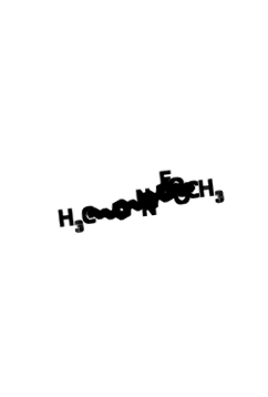 CCCCCC1CCC(CCc2ncc(-c3ccc(OC(=O)CC)c(F)c3)cn2)CC1